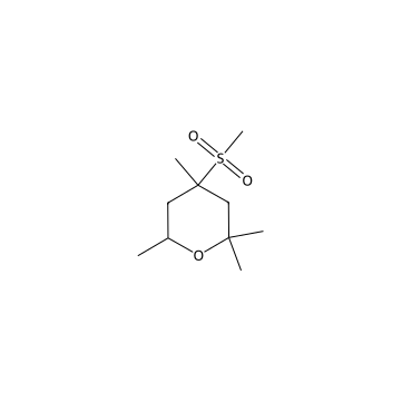 CC1CC(C)(S(C)(=O)=O)CC(C)(C)O1